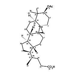 CC(=O)O[C@H]1CC[C@]23C[C@]24CC[C@]2(C)[C@@H]([C@H](C)CCC(=O)O)CC[C@@]2(C)[C@@H]4CC[C@H]3C1(C)C